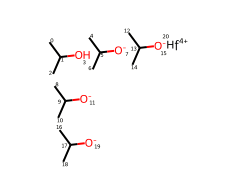 CC(C)O.CC(C)[O-].CC(C)[O-].CC(C)[O-].CC(C)[O-].[Hf+4]